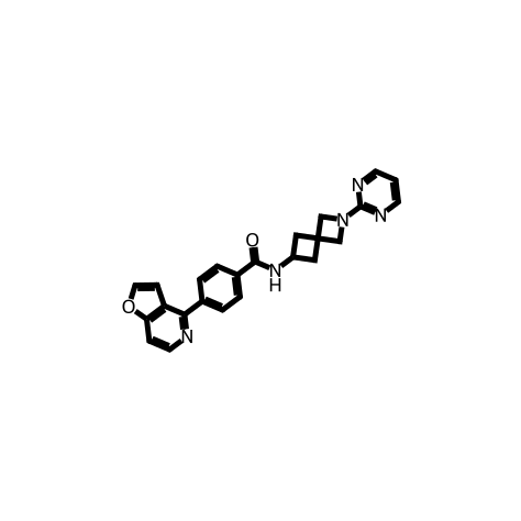 O=C(NC1CC2(C1)CN(c1ncccn1)C2)c1ccc(-c2nccc3occc23)cc1